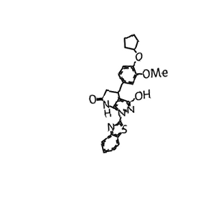 COc1cc(C2CC(=O)Nc3c2c(O)nn3-c2nc3ccccc3s2)ccc1OC1CCCC1